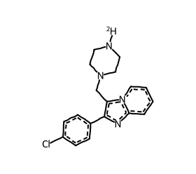 [2H]N1CCN(Cc2c(-c3ccc(Cl)cc3)nc3ccccn23)CC1